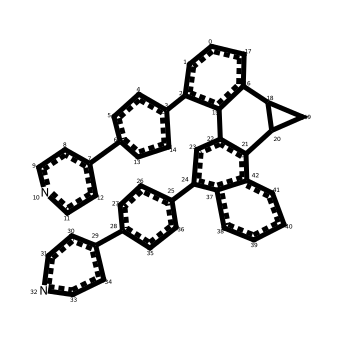 c1cc(-c2ccc(-c3ccncc3)cc2)c2c(c1)C1CC1c1c-2cc(-c2ccc(-c3ccncc3)cc2)c2ccccc12